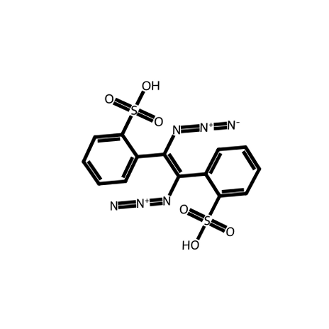 [N-]=[N+]=NC(=C(N=[N+]=[N-])c1ccccc1S(=O)(=O)O)c1ccccc1S(=O)(=O)O